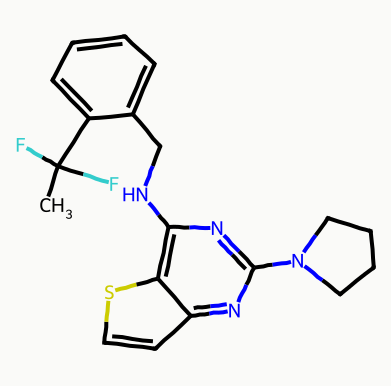 CC(F)(F)c1ccccc1CNc1nc(N2CCCC2)nc2ccsc12